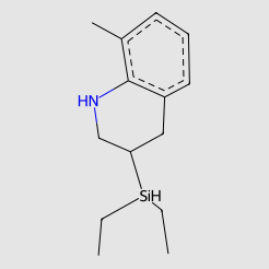 CC[SiH](CC)C1CNc2c(C)cccc2C1